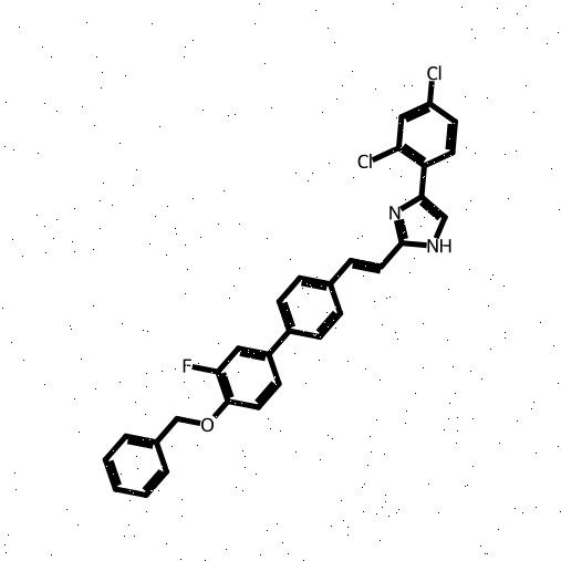 Fc1cc(-c2ccc(C=Cc3nc(-c4ccc(Cl)cc4Cl)c[nH]3)cc2)ccc1OCc1ccccc1